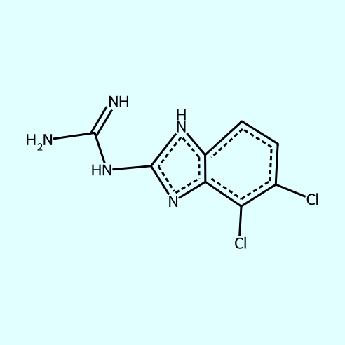 N=C(N)Nc1nc2c(Cl)c(Cl)ccc2[nH]1